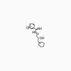 N=C(NOC[C@H](O)CN1CCCCC1)c1ccc[n+]([O-])c1